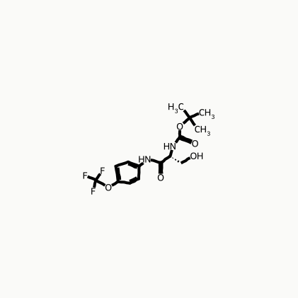 CC(C)(C)OC(=O)N[C@H](CO)C(=O)Nc1ccc(OC(F)(F)F)cc1